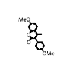 COc1ccc(-c2c(C)c3ccc(OC)cc3oc2=O)cc1